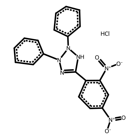 Cl.O=[N+]([O-])c1ccc(C2=NN(c3ccccc3)N(c3ccccc3)N2)c([N+](=O)[O-])c1